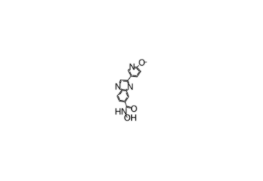 COc1ccc(-c2cnc3ccc(C(=O)NO)cc3n2)cn1